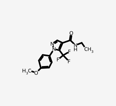 CCNC(=O)c1cnn(-c2ccc(OC)cc2)c1C(F)(F)F